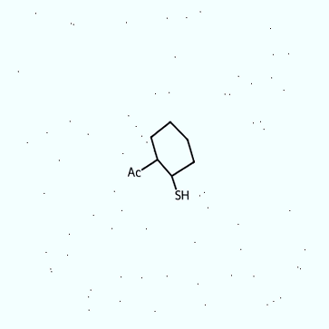 CC(=O)C1CCCCC1S